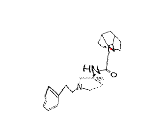 O=C(N[C@H]1CCN(CCc2ccccc2)C1)N1C2CC3CC(C2)CC1C3